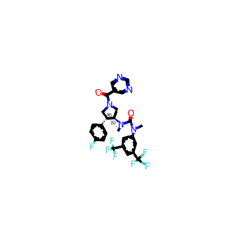 CN(C(=O)N(C)[C@@H]1CN(C(=O)c2cncnc2)C[C@H]1c1ccc(F)cc1)c1cc(C(F)(F)F)cc(C(F)(F)F)c1